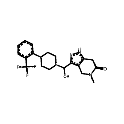 CN1Cc2c(C(O)N3CCC(c4ccccc4C(F)(F)F)CC3)n[nH]c2CC1=O